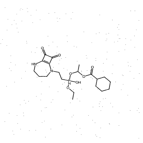 CCO[PH](O)(CCN1CCCNc2c1c(=O)c2=O)OC(C)OC(=O)C1CCCCC1